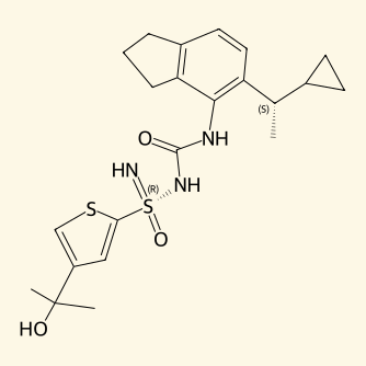 C[C@H](c1ccc2c(c1NC(=O)N[S@](=N)(=O)c1cc(C(C)(C)O)cs1)CCC2)C1CC1